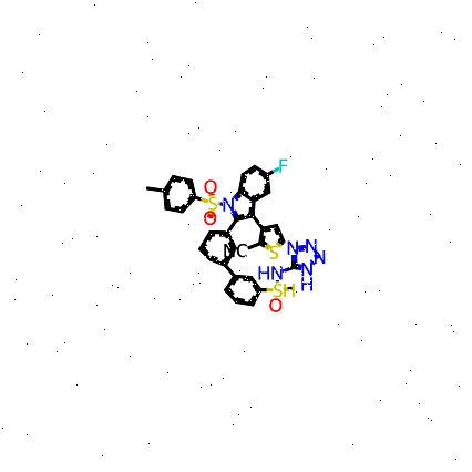 Cc1ccc(S(=O)(=O)n2c(-c3cccc(-c4cccc([SH](C)(=O)Nc5nnn[nH]5)c4)c3)c(-c3ccsc3C#N)c3cc(F)ccc32)cc1